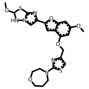 COc1cc(OCc2csc(N3CCCOCC3)n2)c2cc(-c3cn4c(n3)SC(OC)N4)oc2c1